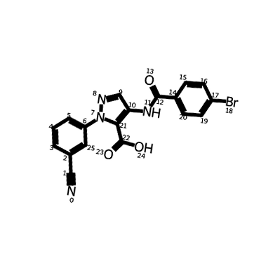 N#Cc1cccc(-n2ncc(NC(=O)c3ccc(Br)cc3)c2C(=O)O)c1